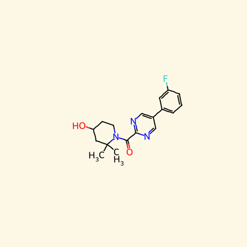 CC1(C)CC(O)CCN1C(=O)c1ncc(-c2cccc(F)c2)cn1